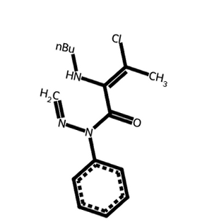 C=NN(C(=O)/C(NCCCC)=C(\C)Cl)c1ccccc1